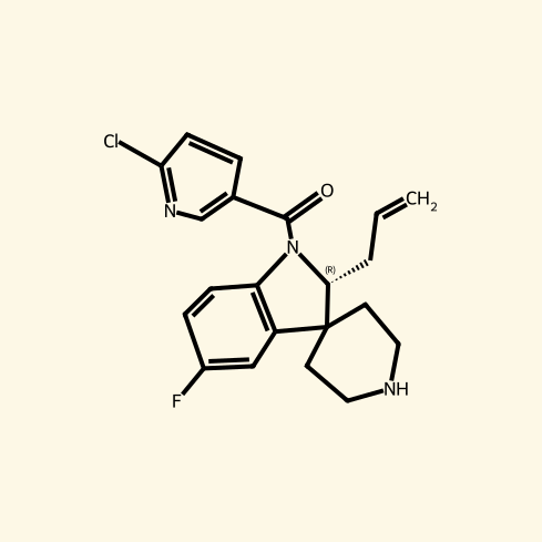 C=CC[C@H]1N(C(=O)c2ccc(Cl)nc2)c2ccc(F)cc2C12CCNCC2